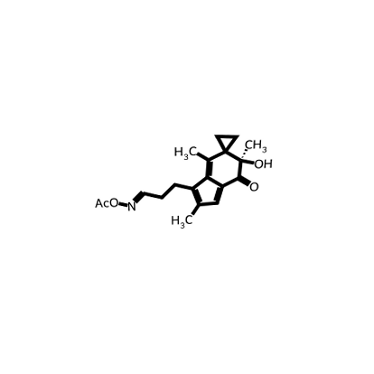 CC(=O)ON=CCCC1=C(C)C=C2C(=O)[C@](C)(O)C3(CC3)C(C)=C21